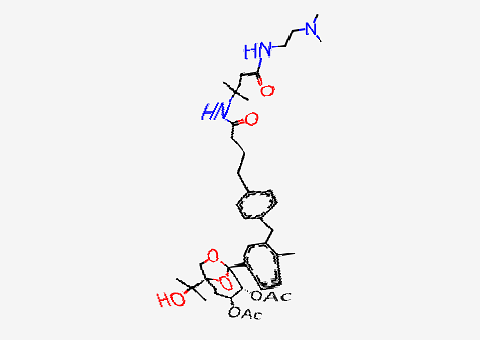 CC(=O)O[C@H]1C[C@]2(C(C)(C)O)CO[C@@](c3ccc(C)c(Cc4ccc(CCCC(=O)NC(C)(C)CC(=O)NCCN(C)C)cc4)c3)(O2)[C@@H]1OC(C)=O